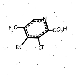 CCc1c(C(F)(F)F)cnc(C(=O)O)c1Cl